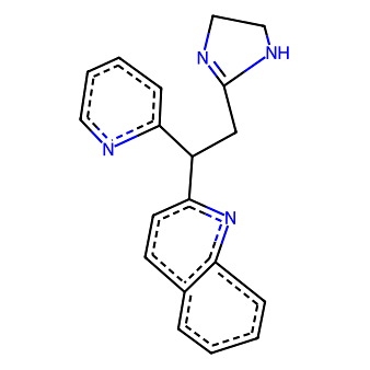 c1ccc(C(CC2=NCCN2)c2ccc3ccccc3n2)nc1